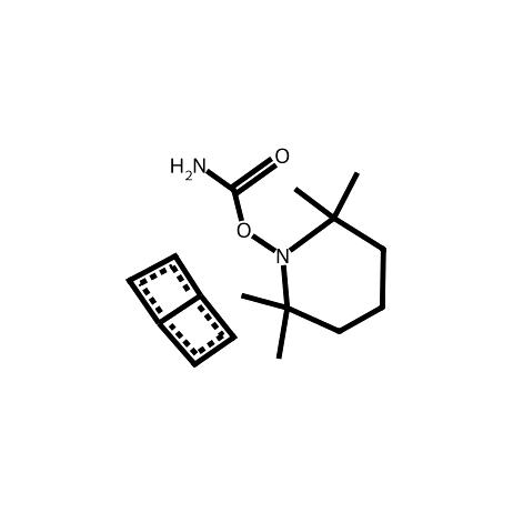 CC1(C)CCCC(C)(C)N1OC(N)=O.c1cc2ccc1-2